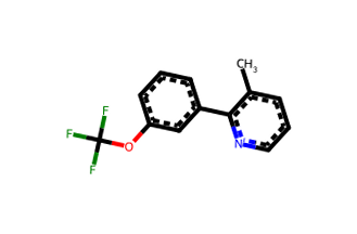 Cc1cccnc1-c1cccc(OC(F)(F)F)c1